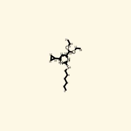 CCCCCCSc1nc(C2CC2)cc(C(OCC)OCC)n1